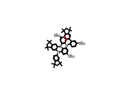 CC(C)(C)c1ccc2c(c1)B1c3cc4c(cc3N(c3ccc5c(c3)C(C)(C)CC5(C)C)c3cc(C(C)(C)C)cc(c31)N2c1ccc(C(C)(C)C)cc1-c1ccc2c(c1)C(C)(C)CC2(C)C)C(C)(C)CC4(C)C